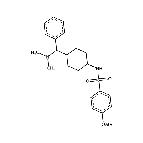 COc1ccc(S(=O)(=O)NC2CCC(C(c3ccccc3)N(C)C)CC2)cc1